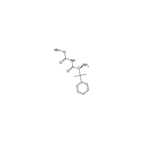 CC(C)(C)OC(=O)NC(=O)[C@@H](N)C(C)(C)c1ccccc1